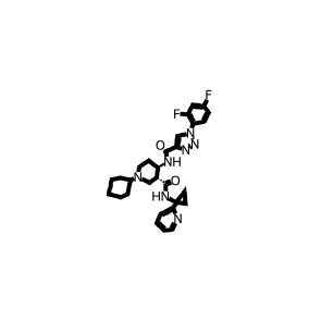 O=C(N[C@@H]1CCN(C2CCCCC2)C[C@H]1C(=O)NC1(c2ccccn2)CC1)c1cn(-c2ccc(F)cc2F)nn1